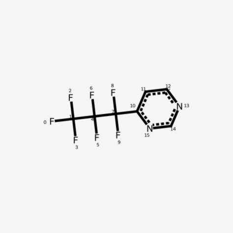 FC(F)(F)C(F)(F)C(F)(F)c1c[c]ncn1